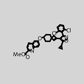 COC(=O)c1ccc2cc(OC3CCC4(C=C(c5c(-c6c(Cl)cccc6Cl)noc5C5CC5)C4)CC3)ccc2n1